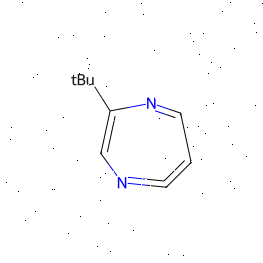 CC(C)(C)C1=CN=C=CC=N1